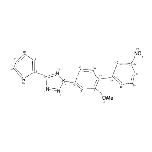 COc1cc(-n2nnc(-c3ccccn3)n2)ccc1-c1cccc([N+](=O)[O-])c1